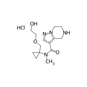 CN(C(=O)c1cnn2c1CNCC2)C1(COCCO)CC1.Cl